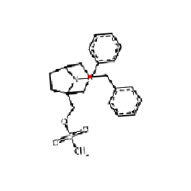 CS(=O)(=O)OCC12CCC(CN(Cc3ccccc3)C1)N2Cc1ccccc1